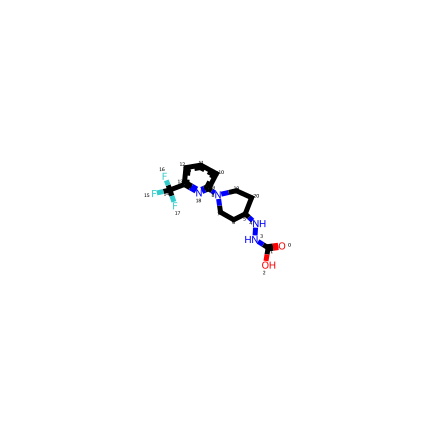 O=C(O)NNC1CCN(c2cccc(C(F)(F)F)n2)CC1